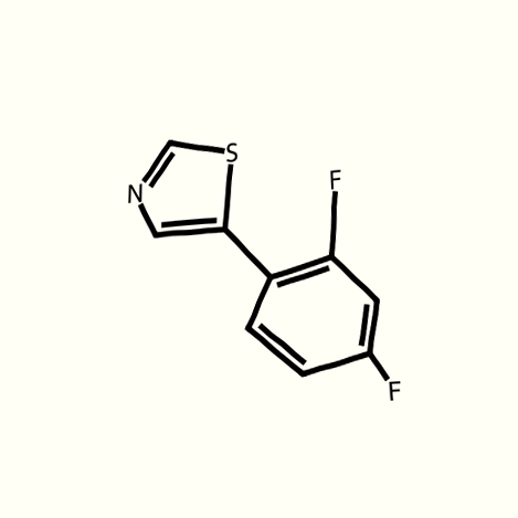 Fc1ccc(-c2cncs2)c(F)c1